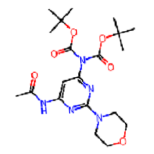 CC(=O)Nc1cc(N(C(=O)OC(C)(C)C)C(=O)OC(C)(C)C)nc(N2CCOCC2)n1